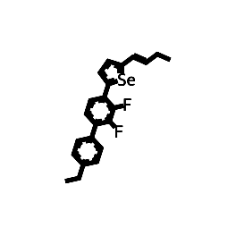 CCC=Cc1ccc(-c2ccc(-c3ccc(CC)cc3)c(F)c2F)[se]1